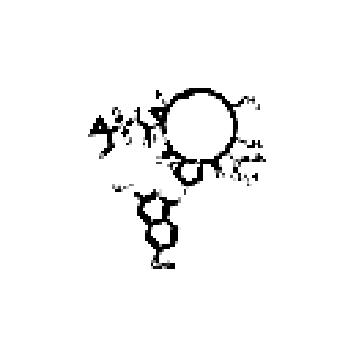 COc1ccc2c(O[C@@H]3C[C@H]4C(=O)N[C@]5(C(=O)NS(=O)(=O)C6(CF)CC6)C[C@H]5/C=C\CC[C@@H](C)C[C@@H](C)[C@H](N(C(=O)O)C(C)(C)C)C(=O)N4C3)nc(OC)cc2c1